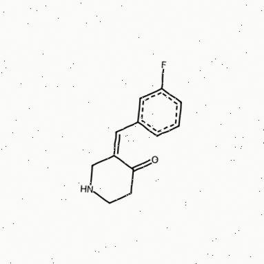 O=C1CCNC/C1=C/c1cccc(F)c1